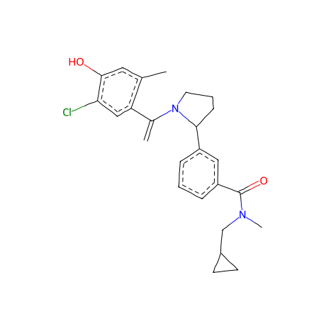 C=C(c1cc(Cl)c(O)cc1C)N1CCCC1c1cccc(C(=O)N(C)CC2CC2)c1